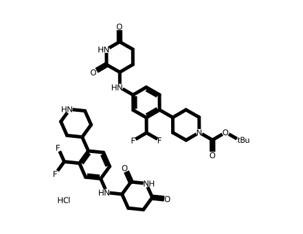 CC(C)(C)OC(=O)N1CCC(c2ccc(NC3CCC(=O)NC3=O)cc2C(F)F)CC1.Cl.O=C1CCC(Nc2ccc(C3CCNCC3)c(C(F)F)c2)C(=O)N1